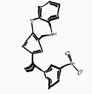 C=C(c1cccc([N+](=O)[O-])c1)c1ccc2c(c1)Nc1ccccc1S2